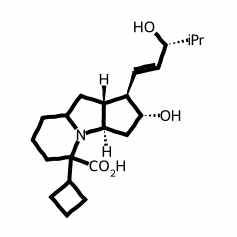 CC(C)[C@@H](O)/C=C/[C@@H]1[C@H]2CC3CCCC(C(=O)O)(C4CCC4)N3[C@@H]2C[C@H]1O